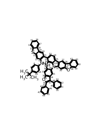 CC(C)(C)c1ccc(Nc2cc3sc4ccccc4c3cc2-c2ccc3c4cc5c(cc4n4c3c2Bc2cc3oc(-c6ccccc6)c(-c6ccccc6)c3cc2-4)oc2ccccc25)cc1